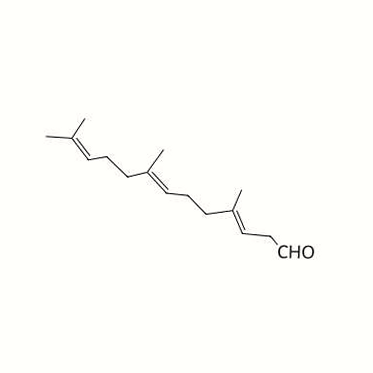 CC(C)=CCC/C(C)=C/CC/C(C)=C/CC=O